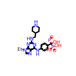 CCn1cnc2c(Nc3ccc(C(O)(P=O)P(=O)(O)O)cc3)nc(NCC3CCNCC3)nc21